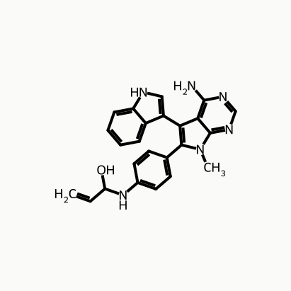 C=CC(O)Nc1ccc(-c2c(-c3c[nH]c4ccccc34)c3c(N)ncnc3n2C)cc1